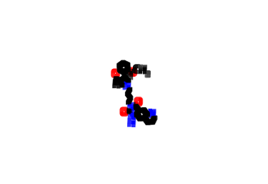 COc1cccc2c1[C@@H]1CN(CCCCn3c(=O)[nH]c4cc5cccnc5cc4c3=O)C[C@@H]1CO2